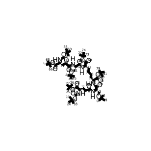 CC(C)(C)OC[C@H](NC(=O)CC[C@H](NC(=O)OC(C)(C)C)C(=O)OC(C)(C)C)C(=O)N[C@@H](CCCC[C@H](NC(=O)[C@H](COC(C)(C)C)NC(=O)CC[C@H](NC(=O)OC(C)(C)C)C(=O)OC(C)(C)C)C(=O)OC(C)(C)C)C(=O)OC(C)(C)C